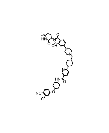 N#Cc1ccc(O[C@H]2CC[C@H](NC(=O)c3ccc(N4CCC(CN5CCN(c6ccc7c(c6)C(O)N(C6CCC(=O)NC6=O)C7=O)CC5)CC4)nc3)CC2)cc1Cl